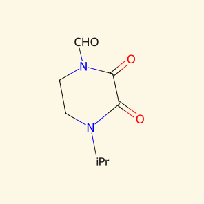 CC(C)N1CCN(C=O)C(=O)C1=O